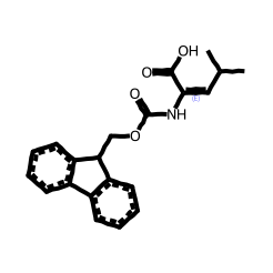 CC(C)/C=C(/NC(=O)OCC1c2ccccc2-c2ccccc21)C(=O)O